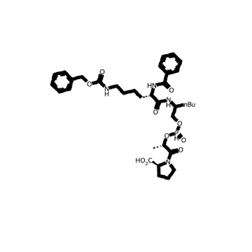 CCCCC(CO[PH](=O)O[C@@H](C)C(=O)N1CCC[C@H]1C(=O)O)NC(=O)[C@H](CCCCNC(=O)OCc1ccccc1)NC(=O)c1ccccc1